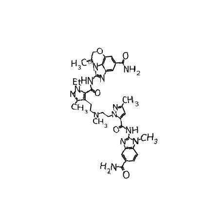 CCn1nc(C)c(CCN(C)CCn2nc(C)cc2C(=O)Nc2nc3cc(C(N)=O)ccc3n2C)c1C(=O)Nc1nc2cc(C(N)=O)cc3c2n1[C@@H](C)CO3